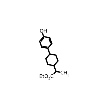 CCOC(=O)C(C)C1CCC(c2ccc(O)cc2)CC1